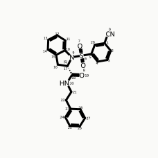 N#Cc1cccc(S(=O)(=O)N2c3ccccc3C[C@H]2C(=O)NCCc2ccccc2)c1